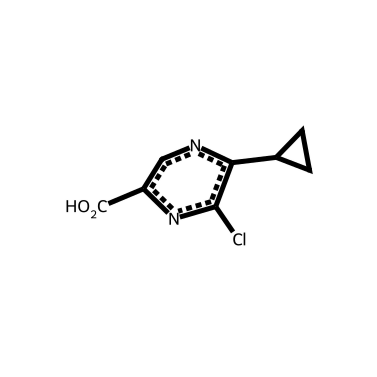 O=C(O)c1cnc(C2CC2)c(Cl)n1